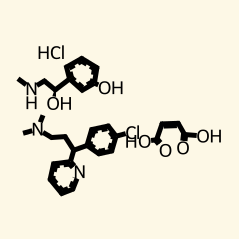 CN(C)CCC(c1ccc(Cl)cc1)c1ccccn1.CNC[C@H](O)c1cccc(O)c1.Cl.O=C(O)/C=C\C(=O)O